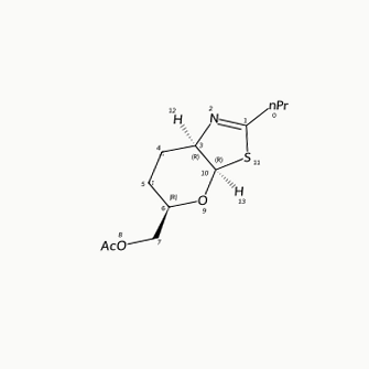 CCCC1=N[C@@H]2[C][C][C@H](COC(C)=O)O[C@@H]2S1